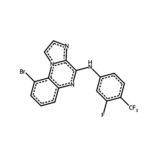 Fc1cc(Nc2nc3cccc(Br)c3n3ccnc23)ccc1C(F)(F)F